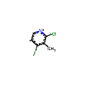 Cc1c(F)ccnc1Cl